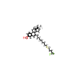 C[C@H]1CCC2C3C(CC[C@@]21C)c1ccc(O)cc1C[C@H]3CCCCCCCCCSCCCC(F)F